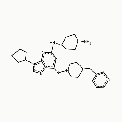 N[C@H]1CC[C@H](Nc2nc(NN3CCC(Cc4cccnc4)CC3)c3ncn(C4CCCC4)c3n2)CC1